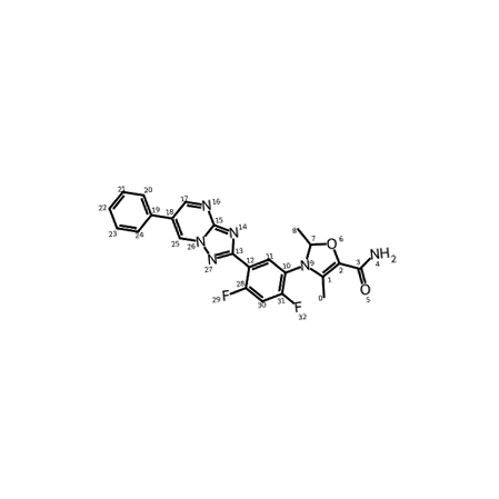 CC1=C(C(N)=O)OC(C)N1c1cc(-c2nc3ncc(-c4ccccc4)cn3n2)c(F)cc1F